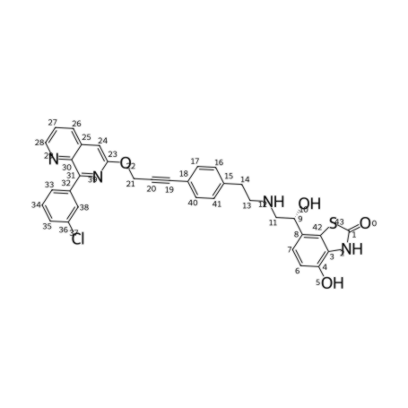 O=c1[nH]c2c(O)ccc([C@@H](O)CNCCc3ccc(C#CCOc4cc5cccnc5c(-c5cccc(Cl)c5)n4)cc3)c2s1